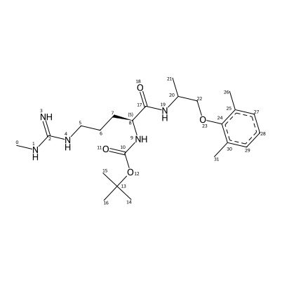 CNC(=N)NCCC[C@H](NC(=O)OC(C)(C)C)C(=O)NC(C)COc1c(C)cccc1C